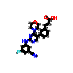 N#Cc1cc(F)cc(Nc2ncc(-c3cccc(/C=C/C(=O)O)c3)c(N3CCOCC3)n2)c1